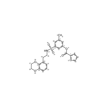 Cc1cc(OC(=O)c2ccco2)cc(S(=O)(=O)NCCc2cccc3c2OCCO3)c1